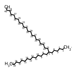 [CH2]CCCCCC(CCCCCCCCCCCCCC)CCCCCCCCCCCCCCCCCCCCC